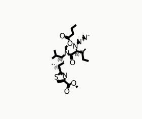 CCCC(=O)OCN(C(=O)[C@@H](N=[N+]=[N-])[C@@H](C)CC)[C@H](C[C@@H](C)c1nc(C(=O)OC)cs1)C(C)C